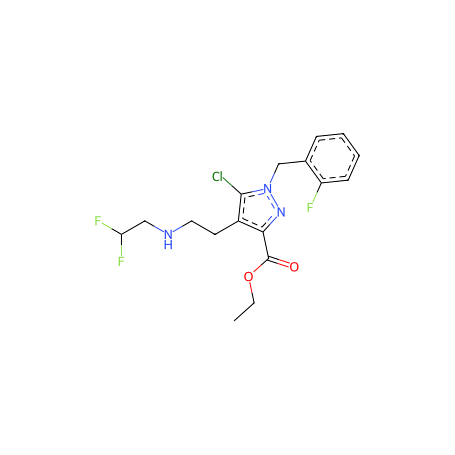 CCOC(=O)c1nn(Cc2ccccc2F)c(Cl)c1CCNCC(F)F